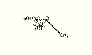 CC#CC#CC#CC#CC(=O)OC[C@@H](COP(=O)(O)O)OC(=O)CCCCCCCCCCC